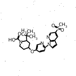 CC(C)(C)C1CC(Oc2ccc(-n3ccc4cc(S(C)(=O)=O)cnc43)nc2)CCN1C(=O)O